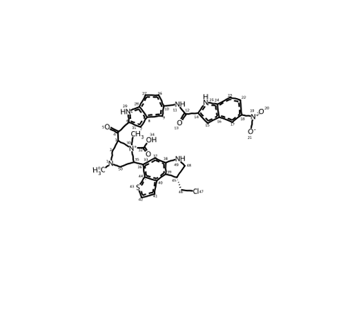 CN1CC(C(=O)c2cc3cc(NC(=O)c4cc5cc([N+](=O)[O-])ccc5[nH]4)ccc3[nH]2)[N+](C)(C(=O)O)C(c2cc3c(c4ccsc24)[C@@H](CCl)CN3)C1